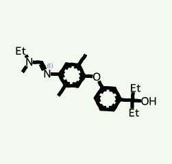 CCN(C)/C=N/c1cc(C)c(Oc2cccc(C(O)(CC)CC)c2)cc1C